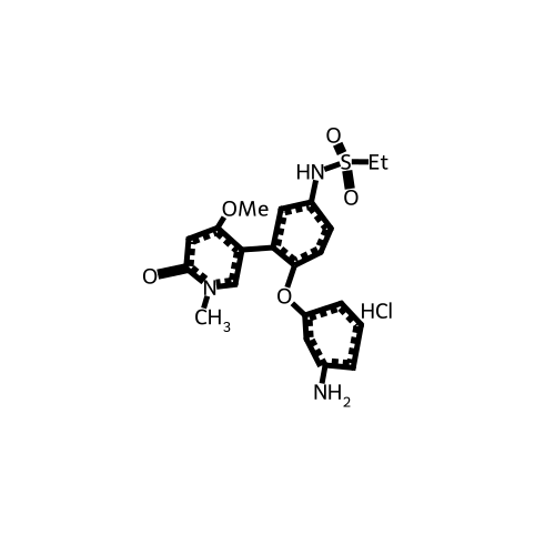 CCS(=O)(=O)Nc1ccc(Oc2cccc(N)c2)c(-c2cn(C)c(=O)cc2OC)c1.Cl